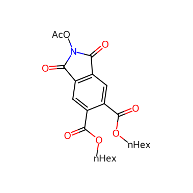 CCCCCCOC(=O)c1cc2c(cc1C(=O)OCCCCCC)C(=O)N(OC(C)=O)C2=O